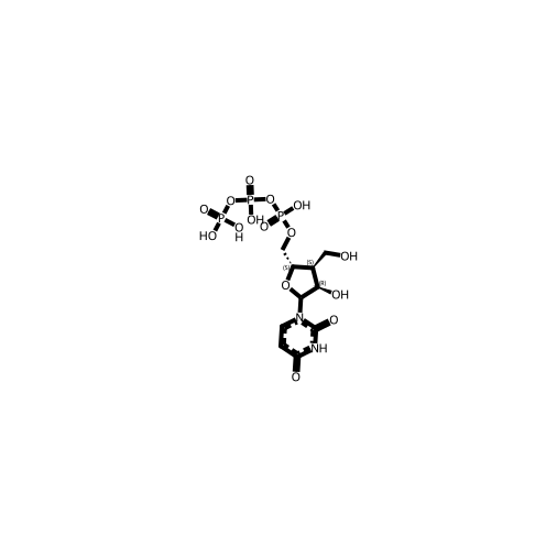 O=c1ccn(C2O[C@H](COP(=O)(O)OP(=O)(O)OP(=O)(O)O)[C@@H](CO)[C@H]2O)c(=O)[nH]1